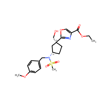 CCOC(=O)c1coc([C@@]2(CO)CC[C@H](N(Cc3ccc(OC)cc3)S(C)(=O)=O)C2)n1